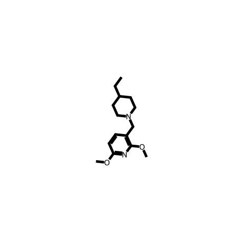 CCC1CCN(Cc2ccc(OC)nc2OC)CC1